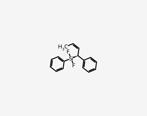 C/C=C\[C@@H](c1ccccc1)[Si](F)(F)c1ccccc1